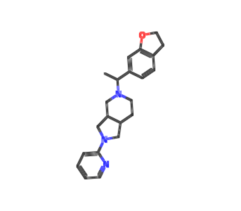 CC(c1ccc2c(c1)OCC2)N1CCC2CN(c3ccccn3)CC2C1